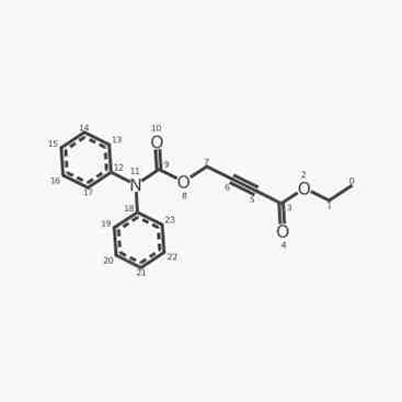 CCOC(=O)C#CCOC(=O)N(c1ccccc1)c1ccccc1